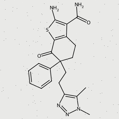 Cc1c(CCC2(c3ccccc3)CCc3c(sc(N)c3C(N)=O)C2=O)nnn1C